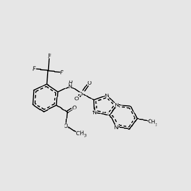 COC(=O)c1cccc(C(F)(F)F)c1NS(=O)(=O)c1nc2ncc(C)cn2n1